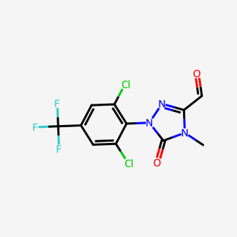 Cn1c(C=O)nn(-c2c(Cl)cc(C(F)(F)F)cc2Cl)c1=O